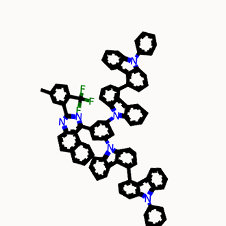 Cc1ccc(C(F)(F)F)c(-c2nc(-c3cc(-n4c5ccccc5c5c(-c6cccc7c6c6ccccc6n7-c6ccccc6)cccc54)cc(-n4c5ccccc5c5c(-c6cccc7c6c6ccccc6n7-c6ccccc6)cccc54)c3)c3c(ccc4ccccc43)n2)c1